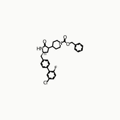 O=C1N[C@H](Cc2ccc(-c3cc(Cl)ccc3F)cc2)CC1C1CCN(C(=O)OCc2ccccc2)CC1